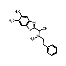 Cc1cc2nc(C(O)[C@H](N)CCc3ccccc3)oc2cc1C